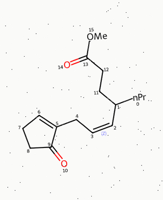 CCCC(/C=C\CC1=CCCC1=O)CCC(=O)OC